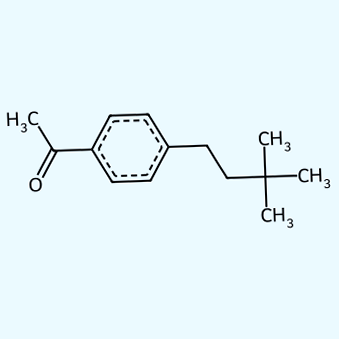 CC(=O)c1ccc(CCC(C)(C)C)cc1